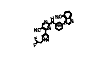 N#Cc1cnc(N[C@@H]2CCC[C@H](n3cnc4cccc(C#N)c43)C2)nc1-c1cnn(CC(F)F)c1